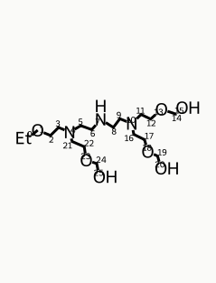 CCOCCN(CCNCCN(CCOCO)CCOCO)CCOCO